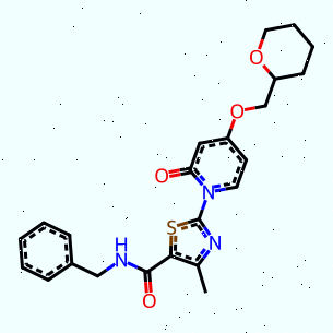 Cc1nc(-n2ccc(OCC3CCCCO3)cc2=O)sc1C(=O)NCc1ccccc1